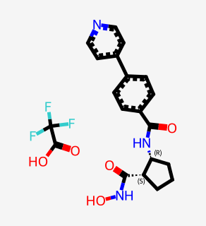 O=C(N[C@@H]1CCC[C@@H]1C(=O)NO)c1ccc(-c2ccncc2)cc1.O=C(O)C(F)(F)F